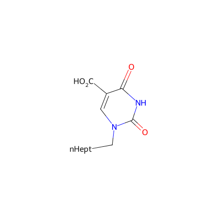 CCCCCCCCn1cc(C(=O)O)c(=O)[nH]c1=O